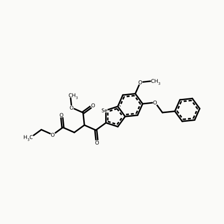 CCOC(=O)CC(C(=O)OC)C(=O)c1cc2cc(OCc3ccccc3)c(OC)cc2[se]1